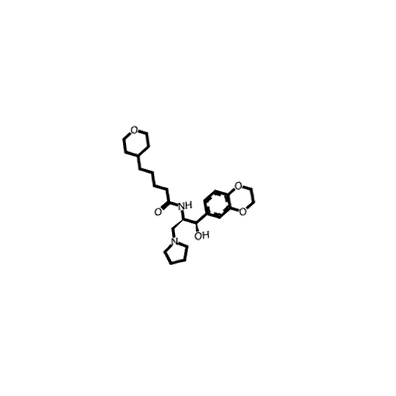 O=C(CCCCC1CCOCC1)N[C@H](CN1CCCC1)[C@H](O)c1ccc2c(c1)OCCO2